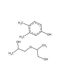 CC(O)COC(C)CO.Cc1ccc(O)cc1C